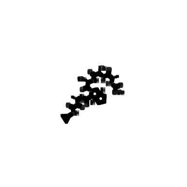 COC(=O)N[C@@H](C)C(=O)N[C@H](C(=O)N[C@H](C(=O)N1C[C@@H]2CCC[C@@H]2C1C(=O)N[C@@H](C)C(=O)C(=O)NC1CC1)C(C)(C)C)C(C)(C)C